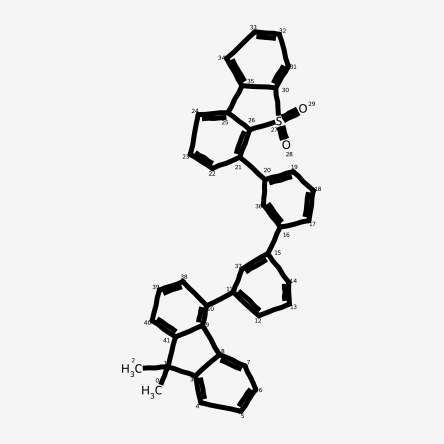 CC1(C)c2ccccc2-c2c(-c3cccc(-c4cccc(-c5cccc6c5S(=O)(=O)c5ccccc5-6)c4)c3)cccc21